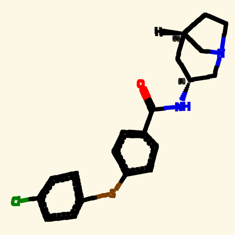 O=C(N[C@@H]1C[C@@H]2CCN(C2)C1)c1ccc(Sc2ccc(Cl)cc2)cc1